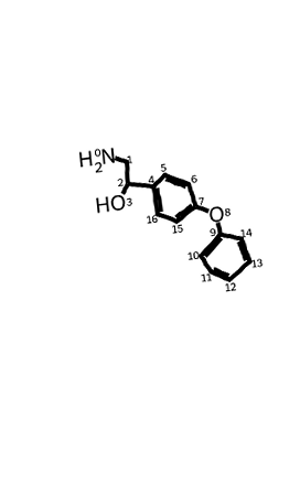 NCC(O)c1ccc(Oc2ccccc2)cc1